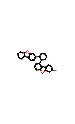 Clc1ccc2c(c1)oc1cccc(-c3ccccc3-c3ccc4c(c3)oc3ccccc34)c12